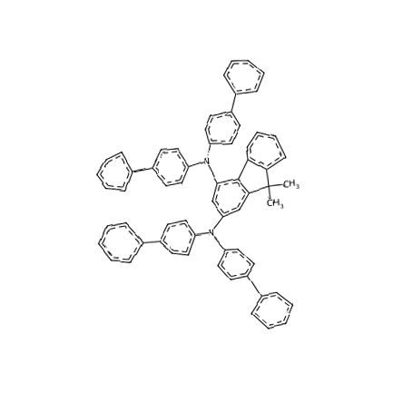 CC1(C)c2ccccc2-c2c(N(c3ccc(-c4ccccc4)cc3)c3ccc(-c4ccccc4)cc3)cc(N(c3ccc(-c4ccccc4)cc3)c3ccc(-c4ccccc4)cc3)cc21